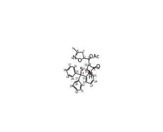 CC(=O)OC(C1CC(C)=NO1)[C@H]1C(=O)N[C@@H]1SC(c1ccccc1)(c1ccccc1)c1ccccc1